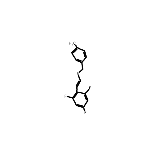 Cc1ccc(CSC=Cc2c(F)cc(F)cc2F)cc1